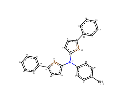 Bc1ccc(N(c2ccc(-c3ccccc3)s2)c2ccc(-c3ccccc3)s2)cc1